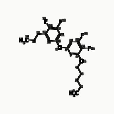 CCCCCOc1cc(Oc2cc(F)c(F)c(CCC)c2)cc(F)c1F